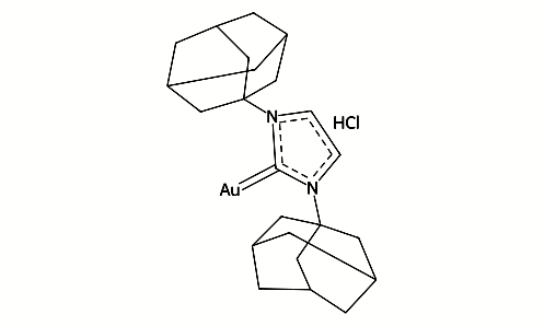 Cl.[Au]=[c]1n(C23CC4CC(CC(C4)C2)C3)ccn1C12CC3CC(CC(C3)C1)C2